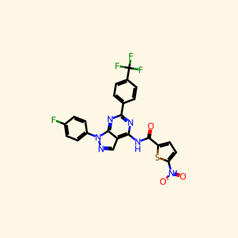 O=C(Nc1nc(-c2ccc(C(F)(F)F)cc2)nc2c1cnn2-c1ccc(F)cc1)c1ccc([N+](=O)[O-])s1